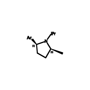 CC(=O)[C@@H]1CC[C@H](C)N1C(C)C